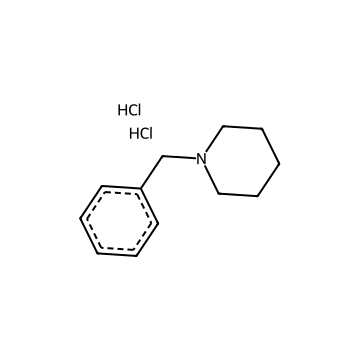 Cl.Cl.c1ccc(CN2CCCCC2)cc1